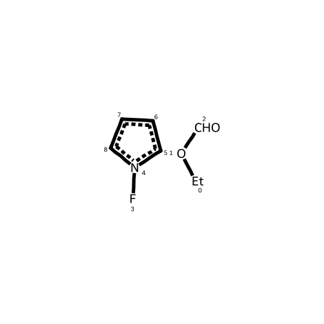 CCOC=O.Fn1cccc1